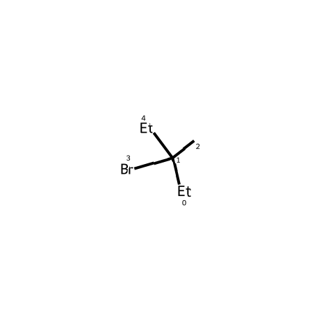 [CH2]CC(C)(Br)CC